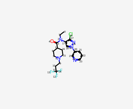 CCN(C(=O)C1CCN(CCC(F)(F)F)CC1)c1cn(-c2cccnc2)nc1Cl